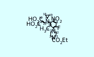 CCOC(=O)N1CCN(c2c(F)cc([N+](=O)[O-])c(N(C=C(C(=O)O)C(=O)O)C3CC3)c2C)CC1